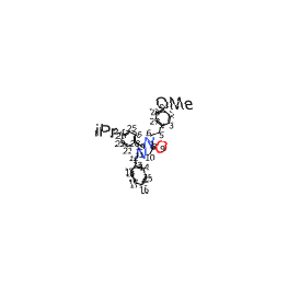 COc1ccc(CCN2C(=O)CN(Cc3ccccc3)C2c2ccc(C(C)C)cc2)cc1